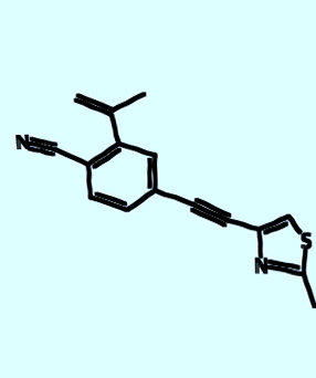 C=C(C)c1cc(C#Cc2csc(C)n2)ccc1C#N